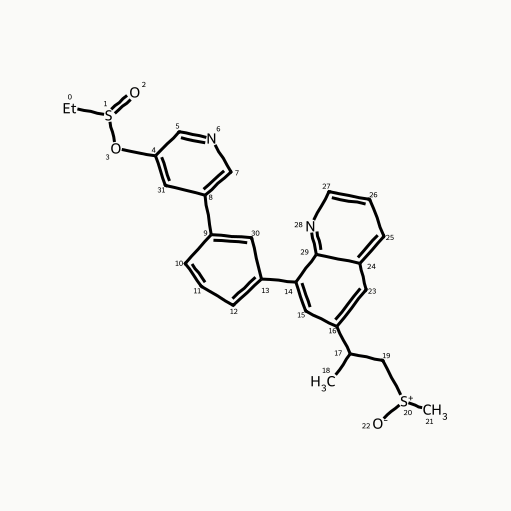 CCS(=O)Oc1cncc(-c2cccc(-c3cc(C(C)C[S+](C)[O-])cc4cccnc34)c2)c1